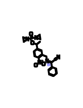 CC(OP(=O)(N1CC1)N1CC1)c1ccc([N+](=O)[O-])c(C/N=C(\C#N)c2ccccc2)c1